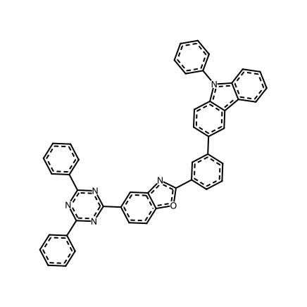 c1ccc(-c2nc(-c3ccccc3)nc(-c3ccc4oc(-c5cccc(-c6ccc7c(c6)c6ccccc6n7-c6ccccc6)c5)nc4c3)n2)cc1